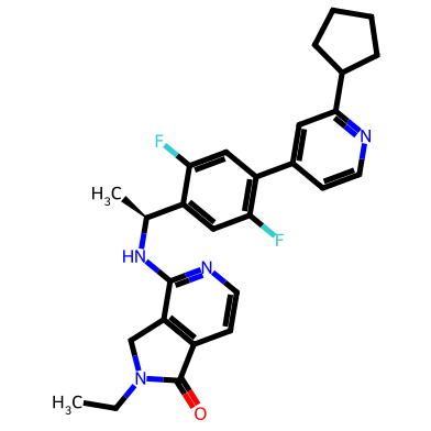 CCN1Cc2c(ccnc2N[C@@H](C)c2cc(F)c(-c3ccnc(C4CCCC4)c3)cc2F)C1=O